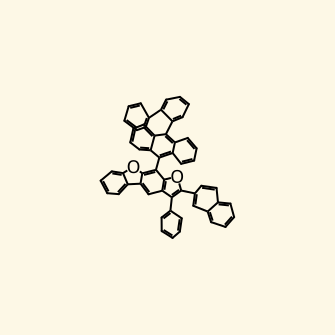 c1ccc(-c2ccccc2-c2c3ccccc3c(-c3c4oc(-c5ccc6ccccc6c5)c(-c5ccccc5)c4cc4c3oc3ccccc34)c3ccccc23)cc1